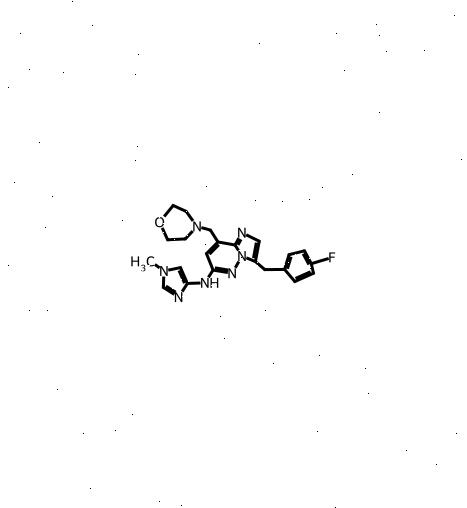 Cn1cnc(Nc2cc(CN3CCOCC3)c3ncc(Cc4ccc(F)cc4)n3n2)c1